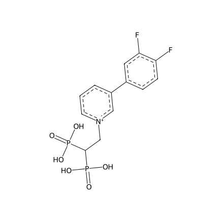 O=P(O)(O)C(C[n+]1cccc(-c2ccc(F)c(F)c2)c1)P(=O)(O)O